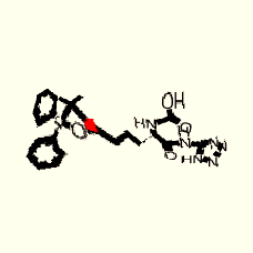 CC(C)(C)[Si](OCCCC[C@H](NC(=O)O)C(=O)Nc1nnn[nH]1)(c1ccccc1)c1ccccc1